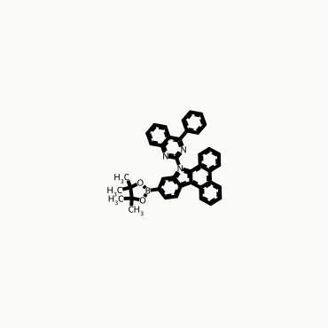 CC1(C)OB(c2ccc3c4c5ccccc5c5ccccc5c4n(-c4nc(-c5ccccc5)c5ccccc5n4)c3c2)OC1(C)C